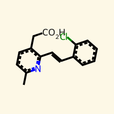 Cc1ccc(CC(=O)O)c(C=Cc2ccccc2Cl)n1